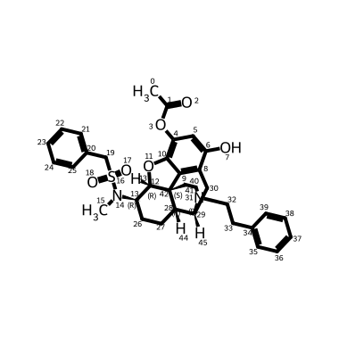 CC(=O)Oc1cc(O)c2c3c1O[C@H]1[C@H](N(C)S(=O)(=O)Cc4ccccc4)CC[C@H]4[C@@H](C2)N(CCc2ccccc2)CC[C@@]341